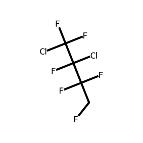 FCC(F)(F)C(F)(Cl)C(F)(F)Cl